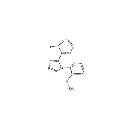 COc1ccccc1-n1nncc1-c1ccccc1I